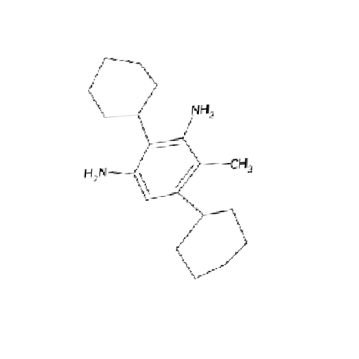 Cc1c(C2CCCCC2)cc(N)c(C2CCCCC2)c1N